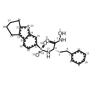 O=C(NO)[C@H](CCc1ccccc1)NS(=O)(=O)c1ccc2c3c(sc2c1)CCCC3